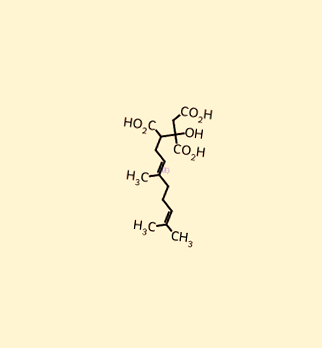 CC(C)=CCC/C(C)=C/CC(C(=O)O)C(O)(CC(=O)O)C(=O)O